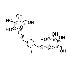 Cc1cc(/C=C/C[C@H]2O[C@H](CO)[C@@H](O)[C@H](O)[C@@H]2O)ccc1/C=C/C[C@H]1O[C@H](CO)[C@@H](O)[C@H](O)[C@@H]1O